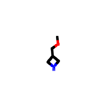 COCC1CNC1